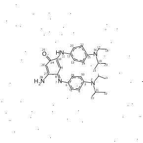 CCN(c1ccc(/N=C2\C=C(Nc3ccc(N(CC)C(C)C)cc3)C(=O)C=C2N)cc1)C(C)C